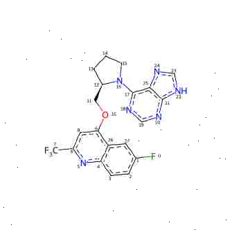 Fc1ccc2nc(C(F)(F)F)cc(OC[C@H]3CCCN3c3ncnc4[nH]cnc34)c2c1